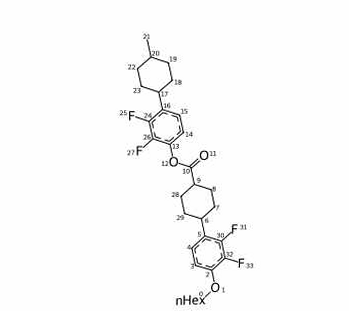 CCCCCCOc1ccc(C2CCC(C(=O)Oc3ccc(C4CCC(C)CC4)c(F)c3F)CC2)c(F)c1F